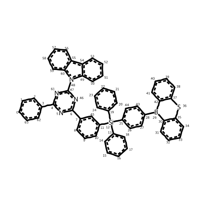 c1ccc(-c2nc(-c3cccc([Si](c4ccccc4)(c4ccccc4)c4ccc(B5c6ccccc6Sc6ccccc65)cc4)c3)nc(-n3c4ccccc4c4ccccc43)n2)cc1